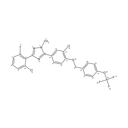 Cn1nc(-c2c(F)cccc2Cl)nc1-c1ccc(OCc2ccc(OC(F)(F)F)cc2)c(Cl)c1